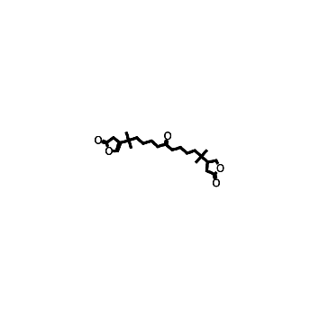 CC(C)(CCCCC(=O)CCCCC(C)(C)C1COC(=O)C1)C1=COC(=O)C1